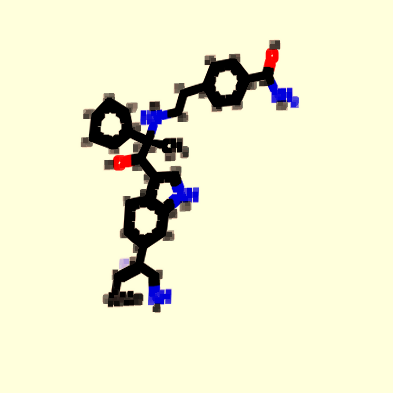 CN/C=C(\C=N)c1ccc2c(C(=O)[C@@](C)(NCCc3ccc(C(N)=O)cc3)c3ccccc3)c[nH]c2c1